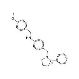 COc1ccc(CNc2ccc(CN3CCC[C@H]3c3ccccc3)cc2)cc1